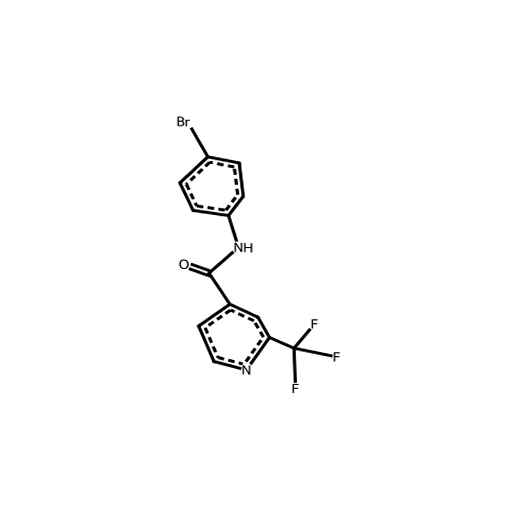 O=C(Nc1ccc(Br)cc1)c1ccnc(C(F)(F)F)c1